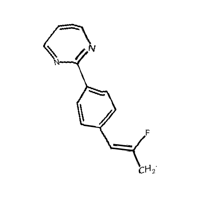 [CH2]/C(F)=C/c1ccc(-c2ncccn2)cc1